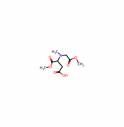 COC(=O)CN(C)C(CC(=O)O)C(=O)OC